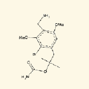 COc1cc(CC(C)(C)OC(N)=O)c(Br)c(OC)c1CN